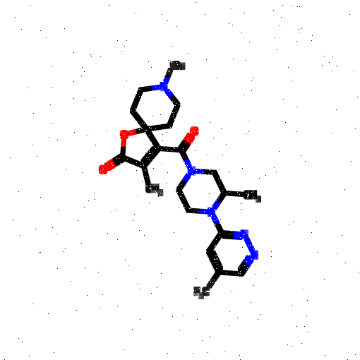 CC1=C(C(=O)N2CCN(c3cc(C(F)(F)F)cnn3)C(C)C2)C2(CCN(C(C)(C)C)CC2)OC1=O